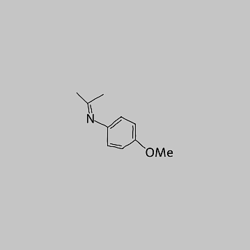 COc1ccc(N=C(C)C)cc1